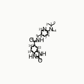 CC(C)N(C)c1ccc(CNC(=O)c2ccc3[nH]c(=O)[nH]c3c2)cn1